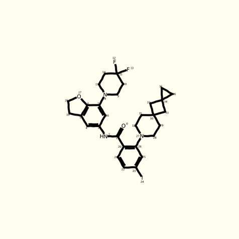 O=C(Nc1cc2c(c(N3CCC(F)(F)CC3)c1)OCC2)c1ccc(I)cc1N1CCC2(CC1)CC1(CC1)C2